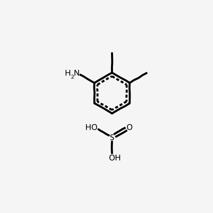 Cc1cccc(N)c1C.O=S(O)O